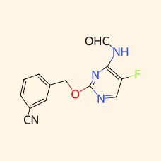 N#Cc1cccc(COc2ncc(F)c(NC=O)n2)c1